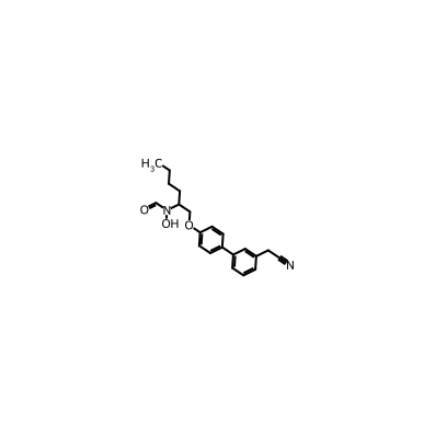 CCCCC(COc1ccc(-c2cccc(CC#N)c2)cc1)N(O)C=O